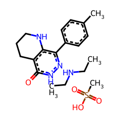 CCNCC.CS(=O)(=O)O.Cc1ccc(-c2n[nH]c(=O)c3c2NCCC3)cc1